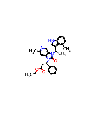 CCOC(=O)C[C@H](c1ccccc1)n1c(=O)n(C(C)c2c[nH]c3cccc(C)c23)c2cnc(C)cc21